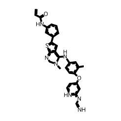 C=CC(=O)Nc1cccc(-c2cc3c(s2)=NCN(C)C=3Nc2ccc(Oc3cc[nH]/c(=N\C=N)c3)c(C)c2)c1